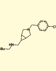 CCC(C)CNCC1C2CN(Cc3ccc(Cl)cc3)CC12